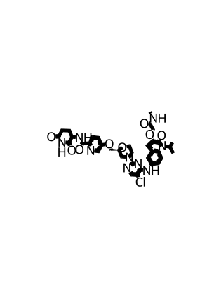 CNC(=O)COc1cc2cc(Nc3nc(N4CCO[C@H](COc5ccc(C(=O)NC6CCC(=O)NC6=O)nc5)C4)ncc3Cl)ccc2n(C(C)C)c1=O